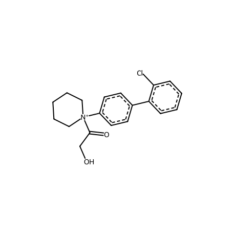 O=C(CO)[N+]1(c2ccc(-c3ccccc3Cl)cc2)CCCCC1